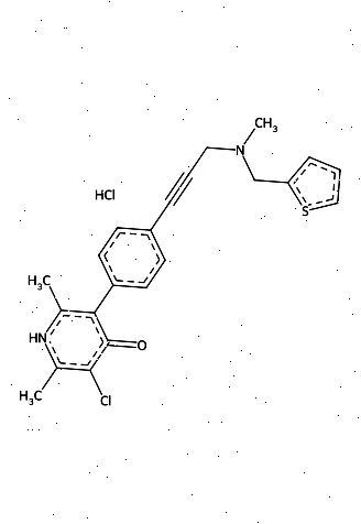 Cc1[nH]c(C)c(-c2ccc(C#CCN(C)Cc3cccs3)cc2)c(=O)c1Cl.Cl